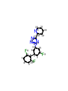 Fc1cc(-c2c(F)cccc2F)cc(-n2nnc(-c3ccccn3)n2)c1